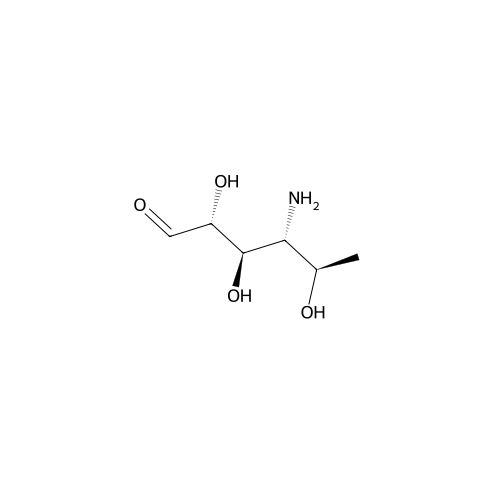 C[C@@H](O)[C@@H](N)[C@@H](O)[C@@H](O)C=O